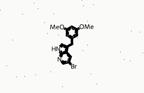 COc1cc(Cc2c[nH]c3ncc(Br)cc23)cc(OC)c1